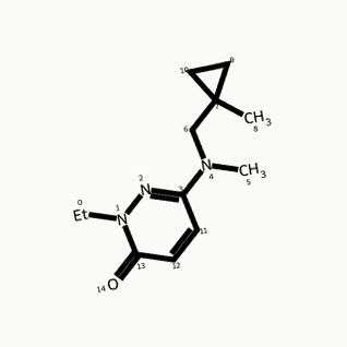 CCn1nc(N(C)CC2(C)CC2)ccc1=O